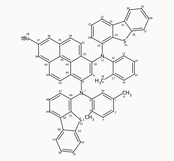 Cc1ccc(C)c(N(c2cc(N(c3ccccc3C)c3cccc4c3sc3ccccc34)c3ccc4cc(C(C)(C)C)cc5ccc2c3c45)c2cccc3c2sc2ccccc23)c1